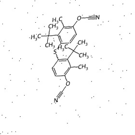 Cc1c(OC#N)ccc(Sc2ccc(OC#N)c(C)c2C(C)(C)C)c1C(C)(C)C